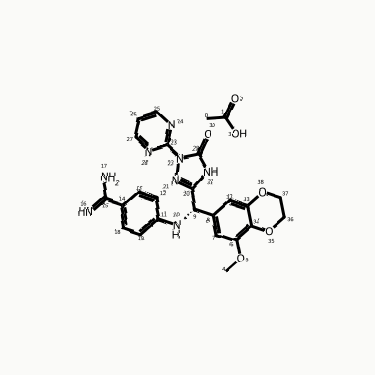 CC(=O)O.COc1cc([C@H](Nc2ccc(C(=N)N)cc2)c2nn(-c3ncccn3)c(=O)[nH]2)cc2c1OCCO2